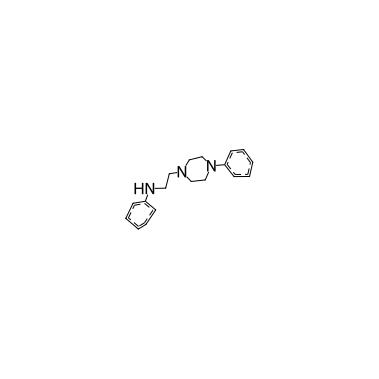 c1ccc(NCCN2CCN(c3ccccc3)CC2)cc1